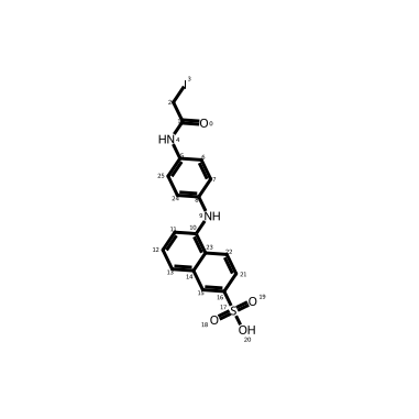 O=C(CI)Nc1ccc(Nc2cccc3cc(S(=O)(=O)O)ccc23)cc1